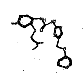 Cc1ccc(NC(=O)Nc2ncc(COc3ccncc3)s2)c(OCC(C)C)c1